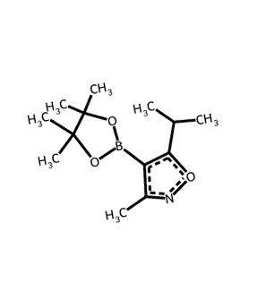 Cc1noc(C(C)C)c1B1OC(C)(C)C(C)(C)O1